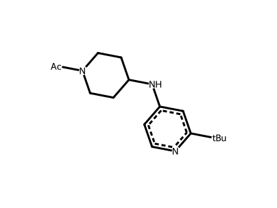 CC(=O)N1CCC(Nc2ccnc(C(C)(C)C)c2)CC1